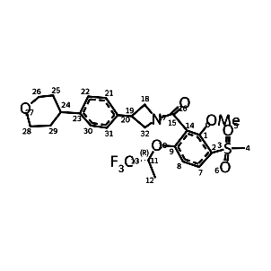 COc1c(S(C)(=O)=O)ccc(O[C@H](C)C(F)(F)F)c1C(=O)N1CC(c2ccc(C3CCOCC3)cc2)C1